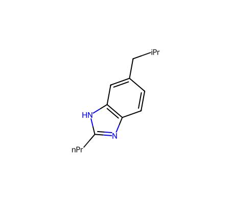 CCCc1nc2ccc(CC(C)C)cc2[nH]1